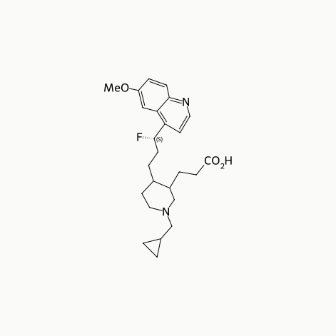 COc1ccc2nccc([C@@H](F)CCC3CCN(CC4CC4)CC3CCC(=O)O)c2c1